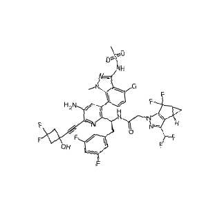 Cn1nc(NS(C)(=O)=O)c2c(Cl)ccc(-c3cc(N)c(C#CC4(O)CC(F)(F)C4)nc3[C@H](Cc3cc(F)cc(F)c3)NC(=O)Cn3nc(C(F)F)c4c3C(F)(F)C3C[C@H]43)c21